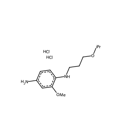 COc1cc(N)ccc1NCCCOC(C)C.Cl.Cl